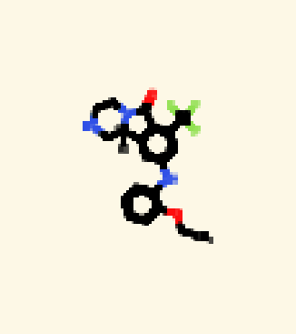 CCOc1ccccc1Nc1cc2c(c(C(F)(F)F)c1)C(=O)N1CCNC[C@@H]21